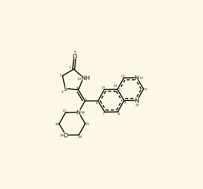 O=C1CSC(=C(c2ccc3ncncc3c2)N2CCOCC2)N1